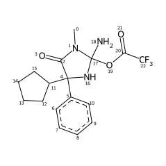 CN1C(=O)C(c2ccccc2)(C2CCCC2)NC1(N)OC(=O)C(F)(F)F